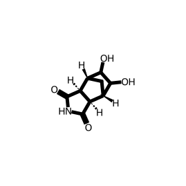 O=C1NC(=O)[C@H]2[C@@H]1[C@H]1C[C@@H]2C(O)C1O